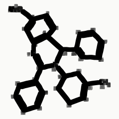 COc1ccc2c(c1)N=C(c1ccccc1)N(C1CCC=C(C)C1)C2c1ccccc1